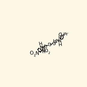 CC(C)n1ccc(NNCCOCCOCCOCNNc2ccc([N+](=O)[O-])cc2[N+](=O)[O-])nc1=O